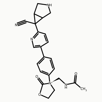 CC(=O)NC[N@@+]1(c2ccc(-c3ccc(C4(C#N)C5CNCC54)nc3)cc2)CCOC1=O